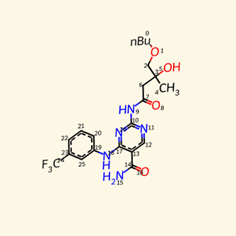 CCCCOCC(C)(O)CC(=O)Nc1ncc(C(N)=O)c(Nc2cccc(C(F)(F)F)c2)n1